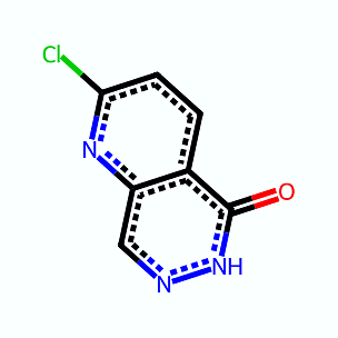 O=c1[nH]ncc2nc(Cl)ccc12